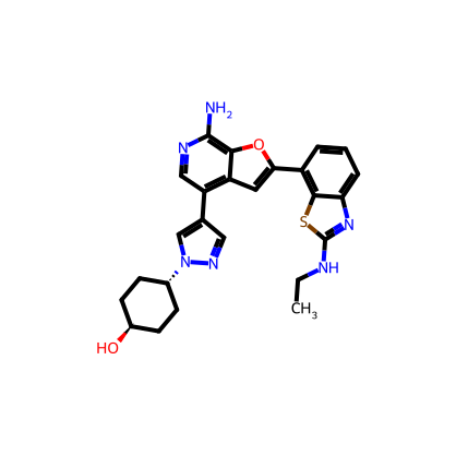 CCNc1nc2cccc(-c3cc4c(-c5cnn([C@H]6CC[C@H](O)CC6)c5)cnc(N)c4o3)c2s1